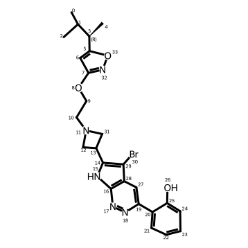 CC(C)[C@@H](C)c1cc(OCCN2CC(c3[nH]c4nnc(-c5ccccc5O)cc4c3Br)C2)no1